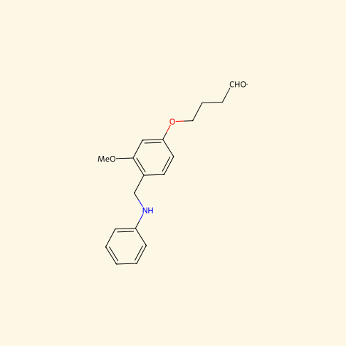 COc1cc(OCCC[C]=O)ccc1CNc1ccccc1